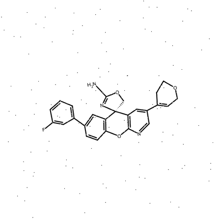 NC1=N[C@]2(CO1)c1cc(-c3cccc(F)c3)ccc1Oc1ncc(C3=CCOCC3)cc12